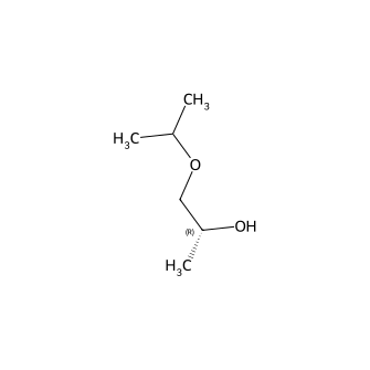 CC(C)OC[C@@H](C)O